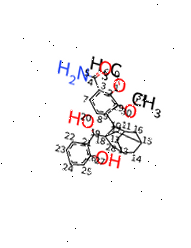 COc1c(C(N)=O)ccc(C2C3CC4CC(C3)CC2(C(O)c2ccccc2O)C4)c1OC